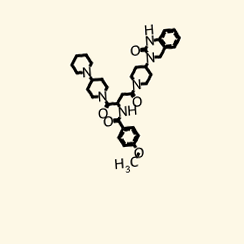 COc1ccc(C(=O)NC(CC(=O)N2CCC(N3Cc4ccccc4NC3=O)CC2)C(=O)N2CCC(N3CCCCC3)CC2)cc1